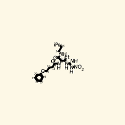 CCC(NC(=N)N[N+](=O)[O-])[C@H](NC(=O)CCCOc1ccccc1)C(=O)N[CH]CC(C)C